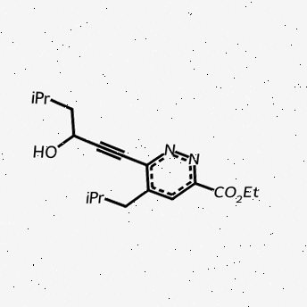 CCOC(=O)c1cc(CC(C)C)c(C#CC(O)CC(C)C)nn1